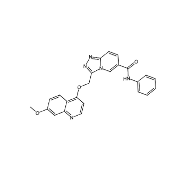 COc1ccc2c(OCc3nnc4ccc(C(=O)Nc5ccccc5)cn34)ccnc2c1